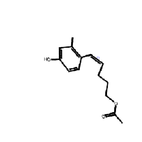 CC(=O)OCCC/C=C\c1ccc(O)cc1C